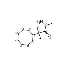 CC(N)C(=O)C(C)(C)C1CCCCCCC1